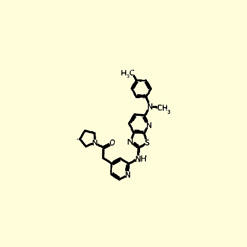 Cc1ccc(N(C)c2ccc3nc(Nc4cc(CC(=O)N5C[CH]CC5)ccn4)sc3n2)cc1